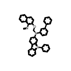 C=Nc1c(OCN(c2cccc(-c3ccccc3)c2)c2ccc3c4ccccc4n(-c4ccccc4)c3c2)ccc2ccccc12